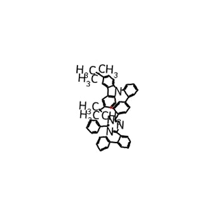 CC(C)(C)c1ccc2c(c1)c1cc(C(C)(C)C)ccc1n2-c1ccccc1-c1ccc(-c2nc(-c3ccccc3)nc(-c3ccccc3-c3ccccc3)n2)cc1